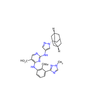 COc1c(Nc2nc(Nc3cnn([C@]45CC6C[C@H](C[C@H](C6)C4)C5)c3)ncc2C(=O)O)cccc1-c1ncn(C)n1